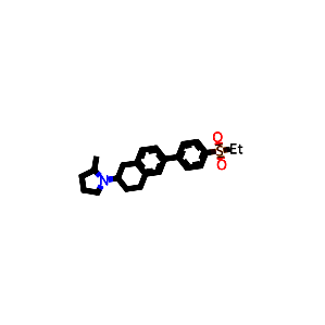 CCS(=O)(=O)c1ccc(-c2ccc3c(c2)CCC(N2CCCC2C)C3)cc1